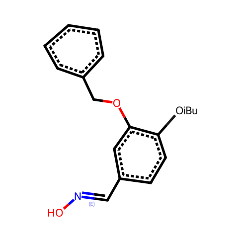 CC(C)COc1ccc(/C=N/O)cc1OCc1ccccc1